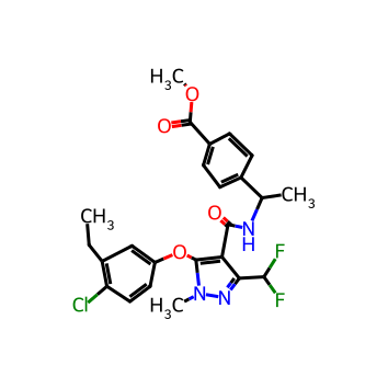 CCc1cc(Oc2c(C(=O)NC(C)c3ccc(C(=O)OC)cc3)c(C(F)F)nn2C)ccc1Cl